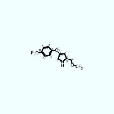 FC(F)(F)OC[C@@H]1C[C@H](Oc2ccc(C(F)(F)F)cc2)CN1